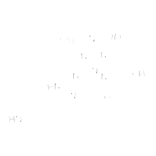 C=CCn1c(=O)c2cnc(Nc3ccc4c(c3)CCNC4)nc2n1-c1nc(C(C)(C)C)nc(C(C)(C)C)n1